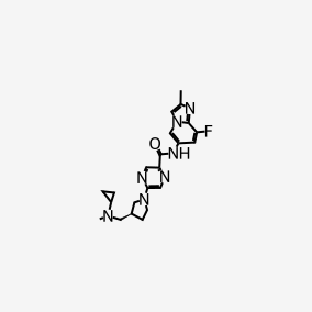 Cc1cn2cc(NC(=O)c3cnc(N4CC[C@@H](CN(C)C5CC5)C4)cn3)cc(F)c2n1